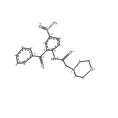 O=C(CN1CCOCC1)Nc1ccc([N+](=O)[O-])cc1C(=O)c1ccccc1